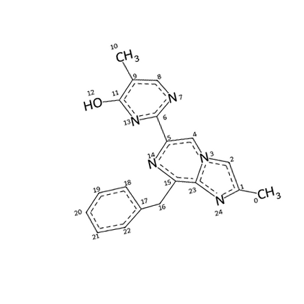 Cc1cn2cc(-c3ncc(C)c(O)n3)nc(Cc3ccccc3)c2n1